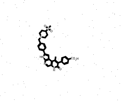 Cc1c(-c2ccc(C(=O)O)cc2)c(=O)[nH]c2cnc3[nH]c(-c4ccc(CN5CCC(S(C)(=O)=O)CC5)cc4)cc3c12